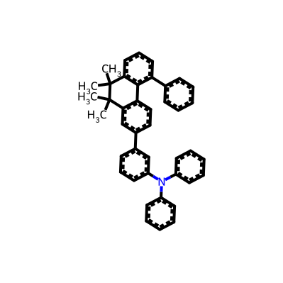 CC1(C)c2cc(-c3cccc(N(c4ccccc4)c4ccccc4)c3)ccc2-c2c(-c3ccccc3)cccc2C1(C)C